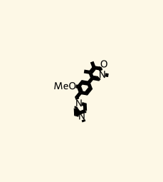 COc1cc(-c2cn(C)c(=O)c(C)c2C)ccc1CN1CC2CC1CN2C